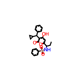 CCC(NS(=O)(=O)c1ccccc1)c1cc(O)c(C(c2ccccc2)C2CC2)c(=O)o1